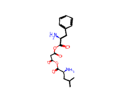 CC(C)C[C@H](N)C(=O)OC(=O)CC(=O)OC(=O)[C@@H](N)Cc1ccccc1